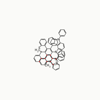 C=C(c1ccccc1-c1ccc2c(c1C)c1ccccc1n2-c1ccccc1)c1c(-c2ccccc2F)c(C2CCCCC2)c(-n2c3ccccc3c3ccc4c(c5ccccc5n4-c4ccccc4)c32)c(C2CCCCC2)c1-c1ccccc1F